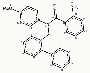 COc1ccc(N(Cc2ccccc2-c2ccccc2)C(=O)c2ccccc2[N+](=O)[O-])cn1